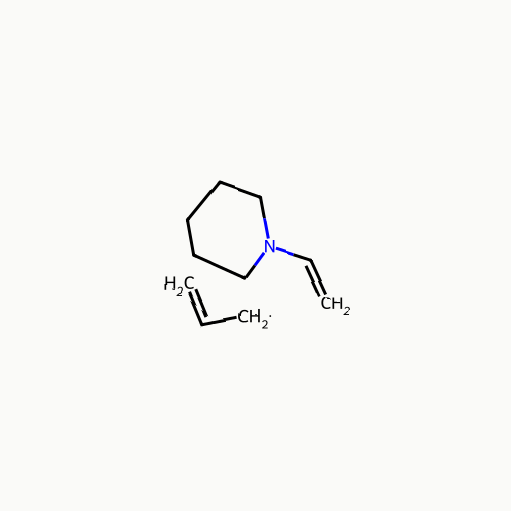 C=CN1CCCCC1.[CH2]C=C